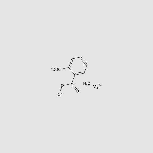 O.O=C([O-])c1ccccc1C(=O)O[O-].[Mg+2]